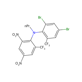 CCCN(c1c(Br)cc(Br)cc1C(F)(F)F)c1c([N+](=O)[O-])cc([N+](=O)[O-])cc1C(F)(F)F